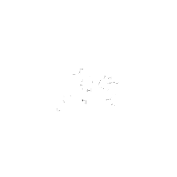 NC(=O)C[C@@H](NC(=O)[C@@H](CCC(=O)O)NC(=O)[C@@H](N)CCC(=O)O)C(N)=O